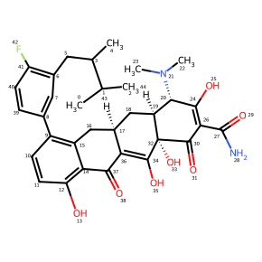 CC(C)C(C)Cc1cc(-c2ccc(O)c3c2C[C@H]2C[C@H]4[C@H](N(C)C)C(O)=C(C(N)=O)C(=O)[C@@]4(O)C(O)=C2C3=O)ccc1F